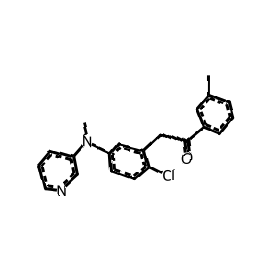 Cc1cccc(C(=O)Cc2cc(N(C)c3cccnc3)ccc2Cl)c1